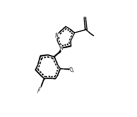 C=C(C)c1cnn(-c2ccc(F)cc2Cl)c1